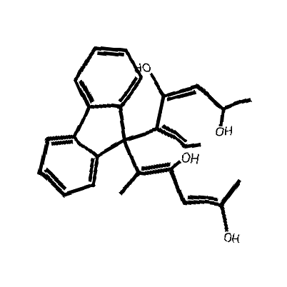 C/C=C(\C(O)=C/C(C)O)C1(/C(C)=C(O)/C=C(\C)O)c2ccccc2-c2ccccc21